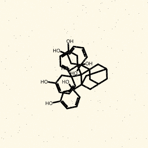 OC1=CC=CC(O)(C23CC4CC(C2)CC(C2(O)C=CC=C(O)C2)(C4)C3(C2(O)C=CC=C(O)C2)C2(O)C=CC=C(O)C2)C1